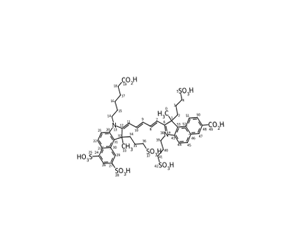 CC1(CCCS(=O)(=O)O)C(/C=C/C=C/C=C2/N(CCCCCC(=O)O)c3ccc4c(S(=O)(=O)O)cc(S(=O)(=O)O)cc4c3C2(C)CCCS(=O)(=O)O)=[N+](CCCS(=O)(=O)O)c2ccc3cc(C(=O)O)ccc3c21